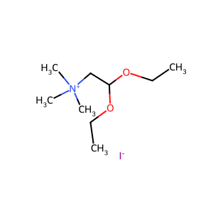 CCOC(C[N+](C)(C)C)OCC.[I-]